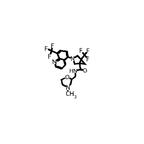 CN1CCOC(CNC(=O)C23CN(c4ccc(C(F)(F)F)c5ncccc45)CC2(C(F)(F)F)C3)C1